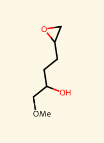 COCC(O)CCC1CO1